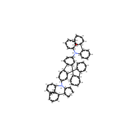 c1ccc(-c2ccccc2N(c2ccccc2)c2ccc3c(c2)C2(c4ccccc4-c4ccccc42)c2cc(N(c4ccccc4)c4ccccc4-c4ccccc4)ccc2-3)cc1